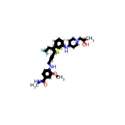 CNC(=O)c1ccc(NCC#Cc2sc3c(NC4CCN(CC(C)O)CC4)cccc3c2CC(F)F)c(OC)c1